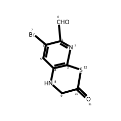 O=Cc1nc2c(cc1Br)NCC(=O)S2